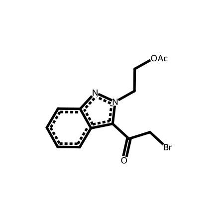 CC(=O)OCCn1nc2ccccc2c1C(=O)CBr